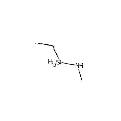 [CH2]C[SiH2]NC